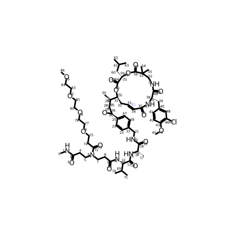 CNC(=O)CCN(CCC(=O)N[C@H](C(=O)N[C@@H](C)C(=O)NCc1ccc([C@H]2O[C@@H]2[C@@H](C)[C@@H]2C/C=C/C(=O)N[C@@H](Cc3ccc(OC)c(Cl)c3)C(=O)NCC(C)(C)C(=O)O[C@@H](CC(C)C)C(=O)O2)cc1)C(C)C)C(=O)CCOCCOCCOCCOC